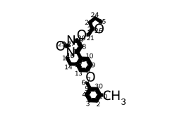 Cc1cccc(COc2ccc3c(c2)CCn2c-3cc(OCC3CCCO3)nc2=O)c1